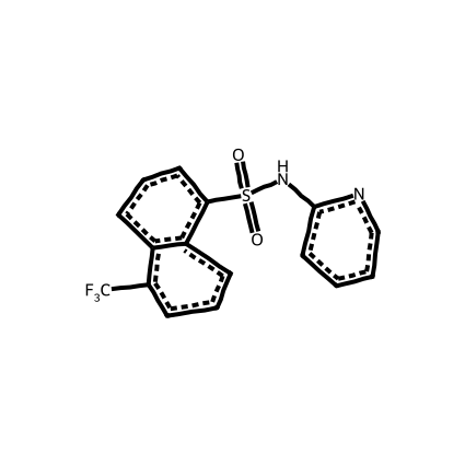 O=S(=O)(Nc1ccccn1)c1cccc2c(C(F)(F)F)cccc12